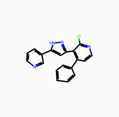 Clc1nccc(-c2ccccc2)c1-c1cc(-c2cccnc2)[nH]n1